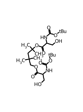 CC(C)(COC(=O)C(CO)NC(=O)OC(C)(C)C)CC(C)(C)OC(=O)C(CO)NC(=O)OC(C)(C)C